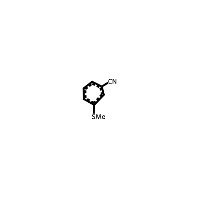 CSc1[c]ccc(C#N)c1